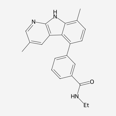 CCNC(=O)c1cccc(-c2ccc(C)c3[nH]c4ncc(C)cc4c23)c1